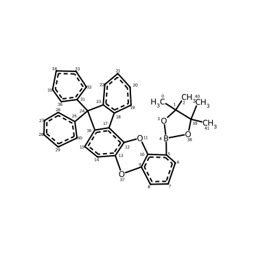 CC1(C)OB(c2cccc3c2Oc2c(ccc4c2-c2ccccc2C4(c2ccccc2)c2ccccc2)O3)OC1(C)C